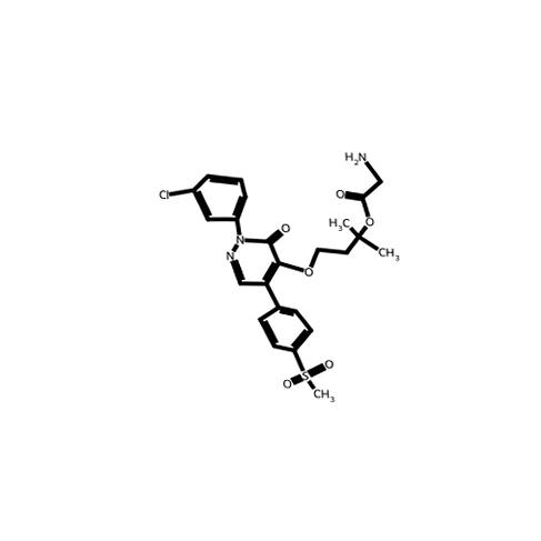 CC(C)(CCOc1c(-c2ccc(S(C)(=O)=O)cc2)cnn(-c2cccc(Cl)c2)c1=O)OC(=O)CN